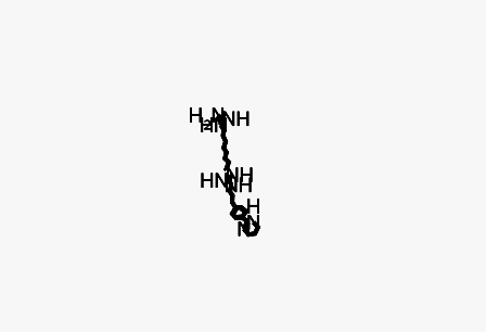 N=C(N)NCCCCCCCCNC(=N)NCCCc1ccc(C2=NCCCN2)cc1